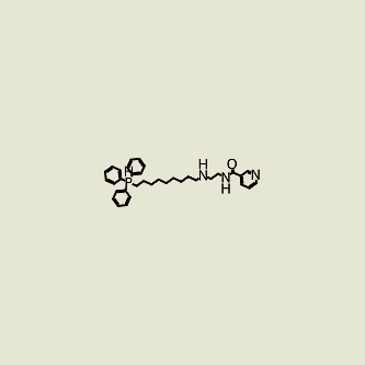 O=C(NCCNCCCCCCCCC[PH](c1ccccc1)(c1ccccc1)c1ccccc1)c1cccnc1